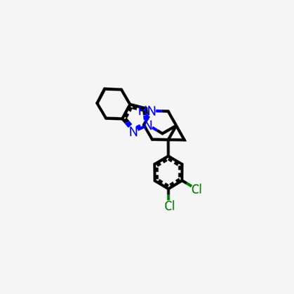 Clc1ccc(C23CCNCC2(Cn2cc4c(n2)CCCC4)C3)cc1Cl